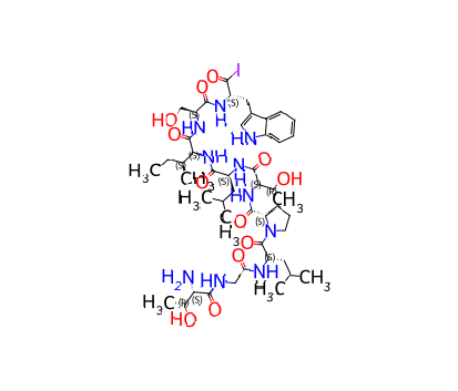 CC[C@H](C)[C@H](NC(=O)[C@H](CC(C)C)NC(=O)[C@@H](NC(=O)[C@@H]1CCCN1C(=O)[C@H](CC(C)C)NC(=O)CNC(=O)[C@@H](N)[C@@H](C)O)[C@@H](C)O)C(=O)N[C@@H](CO)C(=O)N[C@@H](Cc1c[nH]c2ccccc12)C(=O)I